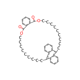 O=C1OCCCCCCCCCc2c3ccccc3c(c3ccccc23)CCCCCCCCCOC(=O)c2ccccc21